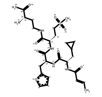 CC=CC(=O)N[C@@H](CC1CC1)C(=O)N[C@@H](Cc1ccco1)C(=O)N[C@@H](CCS(C)(=O)=O)C(=O)NCC[C@H](N)C(N)=O